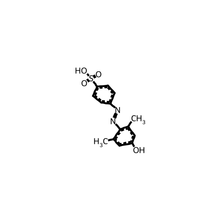 Cc1cc(O)cc(C)c1N=Nc1ccc(S(=O)(=O)O)cc1